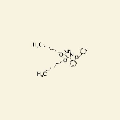 CCCCCCCCOc1nnnc(-c2ccccc2OCc2ccccc2)c1OCCCCCCCC